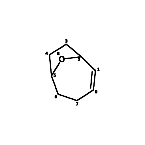 C1=CC2CCC(CC1)O2